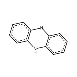 c1ccc2c(c1)[N]c1ccccc1N2